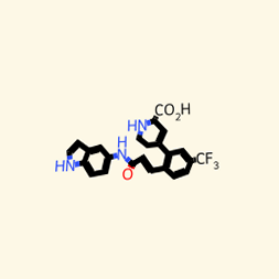 O=C(C=Cc1ccc(C(F)(F)F)cc1C1=CC(C(=O)O)NCC1)Nc1ccc2[nH]ccc2c1